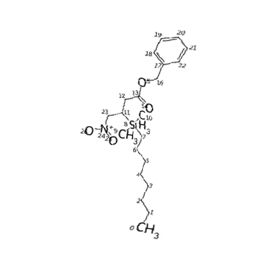 CCCCCCCC[Si](C)(C)C(CC(=O)OCc1ccccc1)C[N+](=O)[O-]